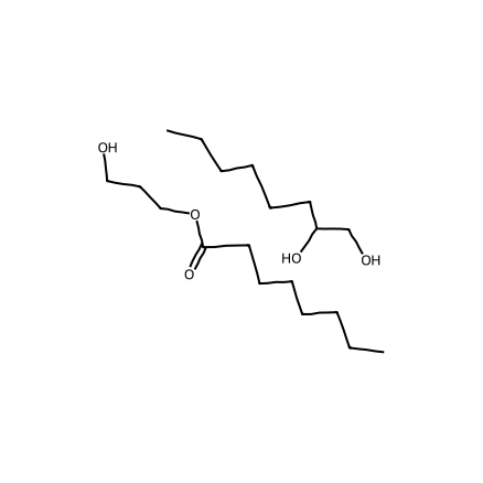 CCCCCCC(O)CO.CCCCCCCC(=O)OCCCO